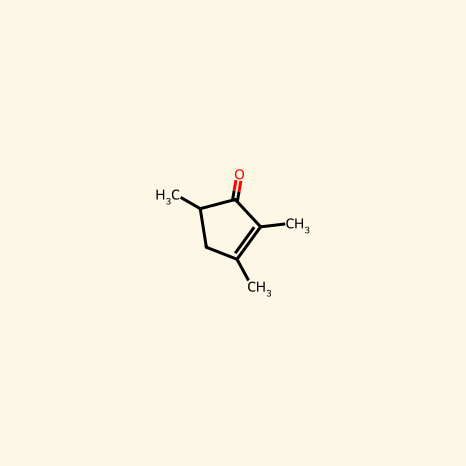 CC1=C(C)C(=O)C(C)C1